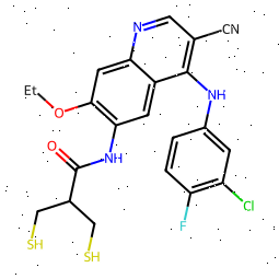 CCOc1cc2ncc(C#N)c(Nc3ccc(F)c(Cl)c3)c2cc1NC(=O)C(CS)CS